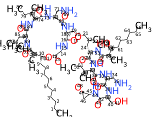 CCCCCCCCCC[C@H]1OC(=O)CNC(=O)[C@H](COCC(C)C[C@@H](C(=O)N[C@H](C(=O)N[C@@H](CN)C(=O)N[C@@H](CO)C(=O)NC2CC2=O)[C@H](C)CC)N(C)C(=O)[C@H](C)[C@H](O)CCCCCC)NC(=O)[C@H](CN)NC(=O)[C@H]([C@H](C)CC)NC(=O)[C@H](CC(C)C)N(C)C(=O)[C@@H]1C